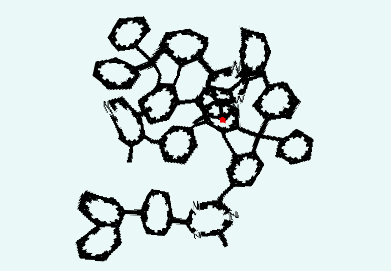 Cc1nc(-c2ccc(-c3cccc4ccccc34)cc2)nc(-c2ccc3c(c2)-c2c(-c4cccc(-c5c(C)cncc5C)c4)cccc2C3(c2ccccc2)c2cccc(-c3ccccc3-c3cc(-c4cccc5c4-c4c(-c6nc(C)nc(C)n6)cccc4C5(c4ccccc4)c4ccccc4)c(C)cn3)c2)n1